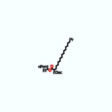 CCCCCCCCCCC(CCCCCCCCCCCCCCCC(C)C)C(=O)OC(CC)CCCCC